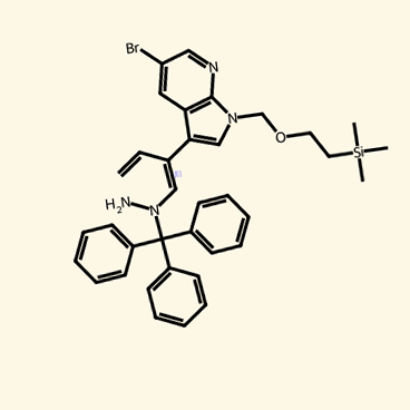 C=C/C(=C\N(N)C(c1ccccc1)(c1ccccc1)c1ccccc1)c1cn(COCC[Si](C)(C)C)c2ncc(Br)cc12